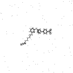 [N-]=[N+]=NCCCCOCc1cccc(Cn2cc(-c3ccc([N+](=O)[O-])cc3)nn2)n1